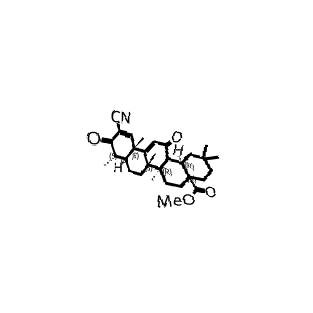 COC(=O)[C@]12CCC(C)(C)C[C@@H]1C1C(=O)C=C3[C@@]4(C)C=C(C#N)C(=O)[C@@H](C)[C@@H]4CC[C@@]3(C)[C@]1(C)CC2